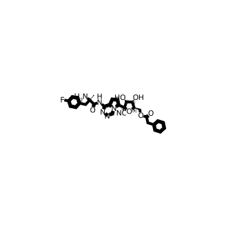 C[C@@](N)(Cc1ccc(F)cc1)C(=O)Nc1nncn2c([C@]3(C#N)O[C@H](COC(=O)Cc4ccccc4)[C@@H](O)[C@H]3O)ccc12